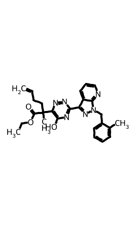 C=CCCC(C)(C(=O)OCC)c1nnc(-c2nn(Cc3ccccc3C)c3ncccc23)nc1O